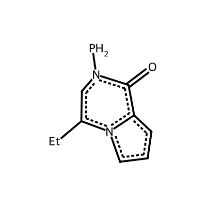 CCc1cn(P)c(=O)c2cccn12